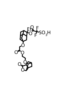 CCC1(OC(=O)C(F)(F)S(=O)(=O)O)C2CC3CC1CC(OCC(=O)OCCOC1C4CC5C(=O)OC1C5C4)(C3)C2